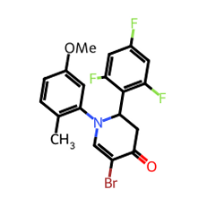 COc1ccc(C)c(N2C=C(Br)C(=O)CC2c2c(F)cc(F)cc2F)c1